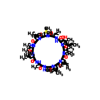 C/C=C/C[C@@H](C)[C@@H](O)[C@@H]1C(=O)N[C@H](CC)C(=O)N(C)[C@H](CSC)C(=O)N(C)[C@@H](CC(C)C)C(=O)N[C@H](C(C)C)C(=O)N(C)[C@H](CC(C)C)C(=O)N[C@H](C)C(=O)N[C@@H](C)C(=O)N(C)[C@H](CC(C)C)C(=O)N(C)[C@H](CC(C)C)C(=O)N(C)[C@H](C(C)C)C(=O)N1C